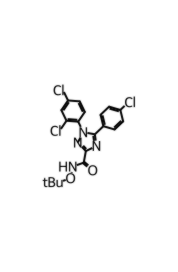 CC(C)(C)ONC(=O)c1nc(-c2ccc(Cl)cc2)n(-c2ccc(Cl)cc2Cl)n1